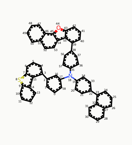 c1cc(-c2cccc3sc4ccccc4c23)cc(N(c2ccc(-c3cccc4ccccc34)cc2)c2ccc(-c3cccc4oc5c6ccccc6ccc5c34)cc2)c1